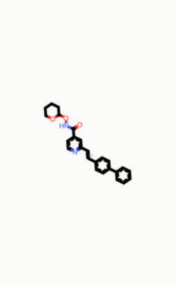 O=C(NOC1CCCCO1)c1ccnc(/C=C/c2ccc(-c3ccccc3)cc2)c1